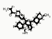 C=C(F)C(=O)N1CCn2nc(-c3nc(-c4ccc5c(c4)CCN(C)C5)c4ccsc4c3-c3ccc(F)cc3OC(C)C)cc2C1